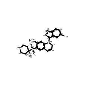 Cc1cc2c(cc1S(=O)(=O)C1(C)CCOCC1)C=CCN2c1n[nH]c2ccc(F)cc12